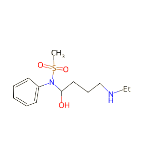 CCNCCCC(O)N(c1ccccc1)S(C)(=O)=O